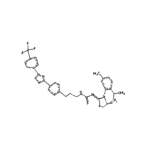 Cc1ccc(C(C)C)c(N2C(=O)CS/C2=N\C(=S)NCCCc2ccc(-c3ncn(-c4ccc(C(F)(F)F)cc4)n3)cc2)c1